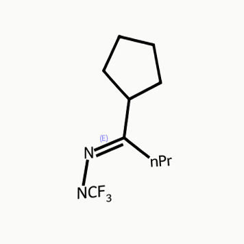 CCC/C(=N\NC(F)(F)F)C1CCCC1